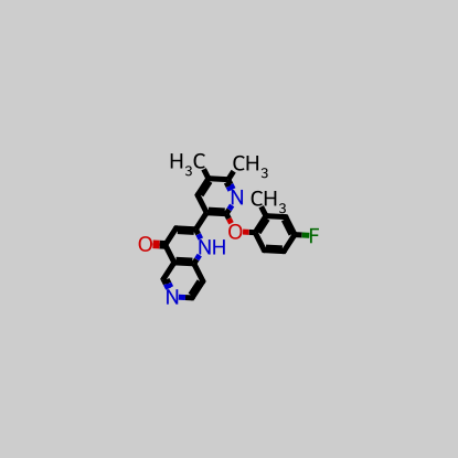 Cc1cc(F)ccc1Oc1nc(C)c(C)cc1-c1cc(=O)c2cnccc2[nH]1